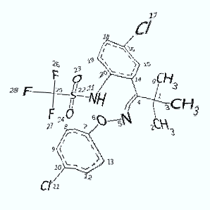 CC(C)(C)C(=NOc1ccc(Cl)cc1)c1cc(Cl)ccc1NS(=O)(=O)C(F)(F)F